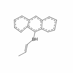 CC=CBc1c2ccccc2cc2ccccc12